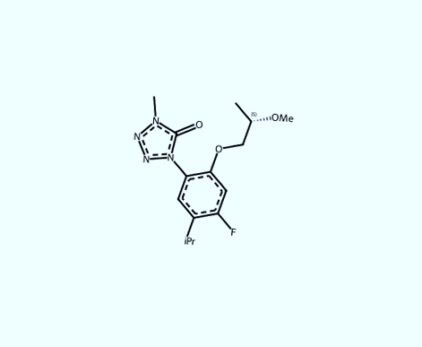 CO[C@@H](C)COc1cc(F)c(C(C)C)cc1-n1nnn(C)c1=O